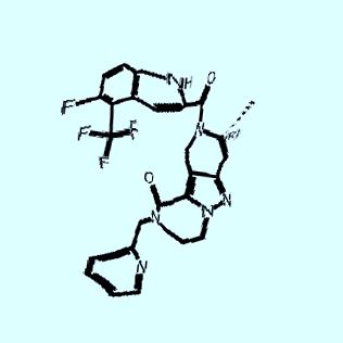 C[C@@H]1Cc2nn3c(c2CN1C(=O)c1cc2c(C(F)(F)F)c(F)ccc2[nH]1)C(=O)N(Cc1ccccn1)CC3